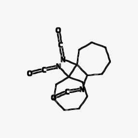 O=C=NC1CCCCCC1(N=C=O)C1(N=C=O)CCCCCC1